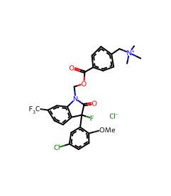 COc1ccc(Cl)cc1C1(F)C(=O)N(COC(=O)c2ccc(C[N+](C)(C)C)cc2)c2cc(C(F)(F)F)ccc21.[Cl-]